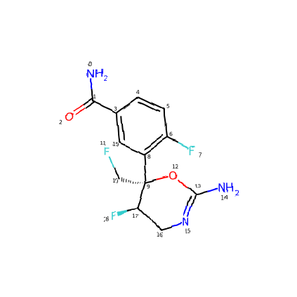 NC(=O)c1ccc(F)c([C@@]2(CF)OC(N)=NC[C@H]2F)c1